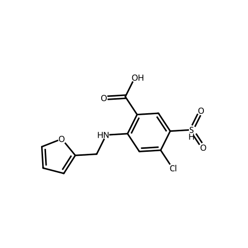 O=C(O)c1cc([SH](=O)=O)c(Cl)cc1NCc1ccco1